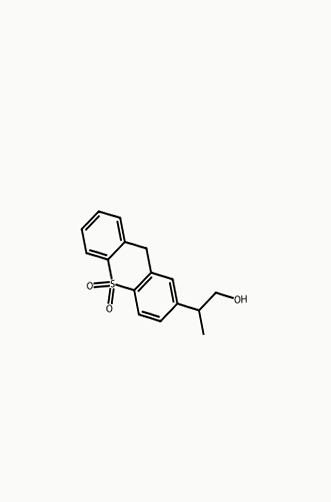 CC(CO)c1ccc2c(c1)Cc1ccccc1S2(=O)=O